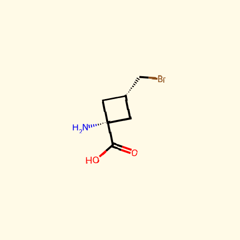 N[C@]1(C(=O)O)C[C@H](CBr)C1